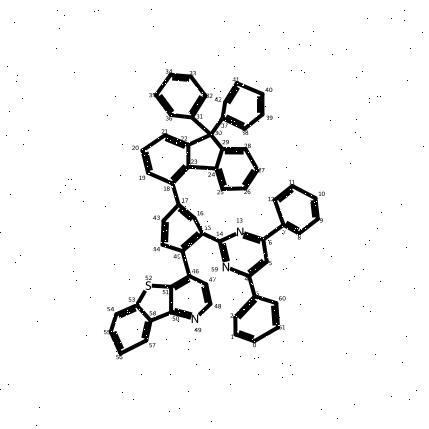 c1ccc(-c2cc(-c3ccccc3)nc(-c3cc(-c4cccc5c4-c4ccccc4C5(c4ccccc4)c4ccccc4)ccc3-c3ccnc4c3sc3ccccc34)n2)cc1